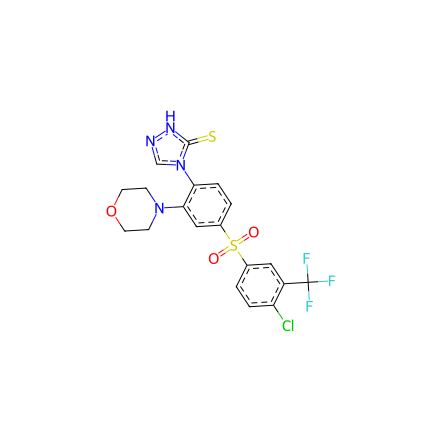 O=S(=O)(c1ccc(-n2cn[nH]c2=S)c(N2CCOCC2)c1)c1ccc(Cl)c(C(F)(F)F)c1